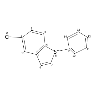 Clc1ccc2c(cc[s+]2-c2ccccc2)c1